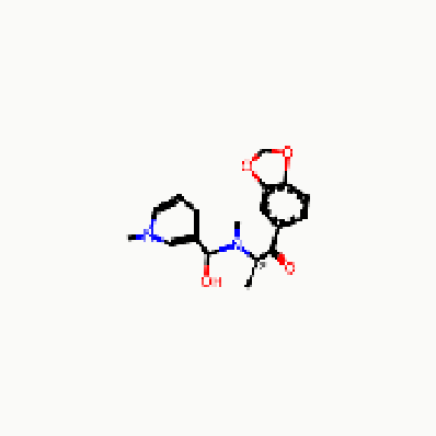 C[C@H](C(=O)c1ccc2c(c1)OCO2)N(C)C(O)C1=CN(C)C=CC1